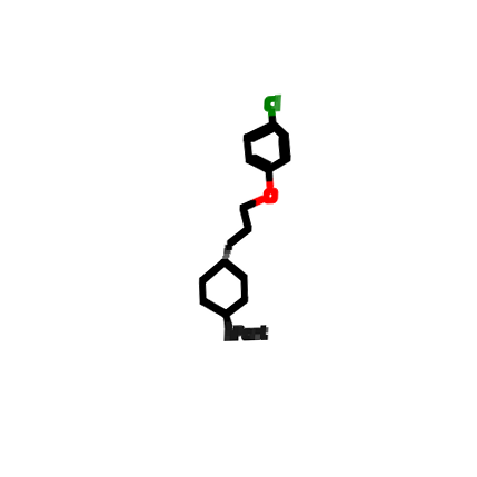 CCCCC[C@H]1CC[C@H](CCCOc2ccc(Cl)cc2)CC1